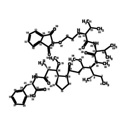 CC[C@H](C)[C@@H]([C@@H](CC(=O)N1CCC[C@H]1[C@H](OC)[C@@H](C)C(=O)N[C@@H](Cc1ccccc1)C(=O)O)OC)N(C)C(=O)[C@@H](NC(=O)[C@@H](NCCON1C(=O)c2ccccc2C1=O)C(C)C)C(C)C